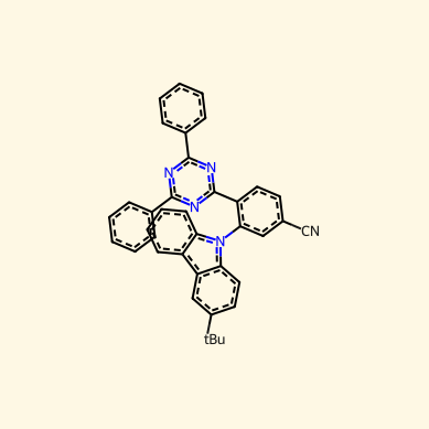 CC(C)(C)c1ccc2c(c1)c1ccccc1n2-c1cc(C#N)ccc1-c1nc(-c2ccccc2)nc(-c2ccccc2)n1